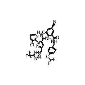 Cc1cc(C#N)cc(C(=O)NCc2ccc(OC(F)F)cc2)c1NC(=O)c1cc(Cn2nnc(C(F)(F)F)n2)nn1-c1ncccc1Cl